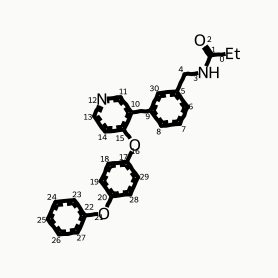 CCC(=O)NCc1cccc(-c2cnccc2Oc2ccc(Oc3ccccc3)cc2)c1